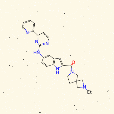 CCN1CC2(CCN(C(=O)c3cc4cc(Nc5nccc(-c6ccccn6)n5)ccc4[nH]3)C2)C1